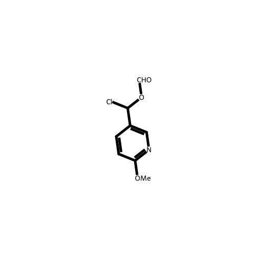 COc1ccc(C(Cl)OC=O)cn1